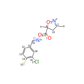 CC1=NOC(C)(C(=O)O/N=C/c2ccc(F)c(Cl)c2)C1